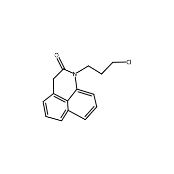 O=C1Cc2cccc3cccc(c23)N1CCCCl